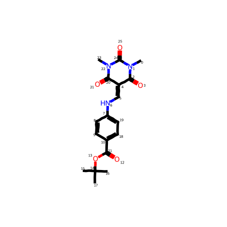 CN1C(=O)C(=CNc2ccc(C(=O)OC(C)(C)C)cc2)C(=O)N(C)C1=O